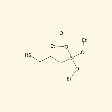 CCO[Si](CCCS)(OCC)OCC.[O]